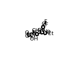 CCOc1ccc2cc(-c3ccc4nc(CN5C(=O)OCC5CO)n(C)c4c3)c(=O)n(-c3ccc(OC(F)F)cc3)c2n1